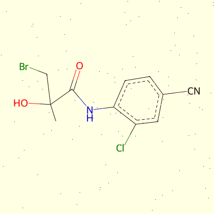 CC(O)(CBr)C(=O)Nc1ccc(C#N)cc1Cl